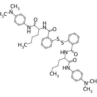 CCCCC(NC(=O)c1ccccc1SSc1ccccc1C(=O)NC(CCCC)C(=O)Nc1ccc(N(C)C)cc1)C(=O)Nc1ccc(N(C)C)cc1